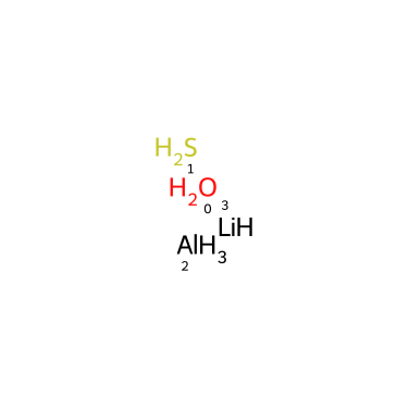 O.S.[AlH3].[LiH]